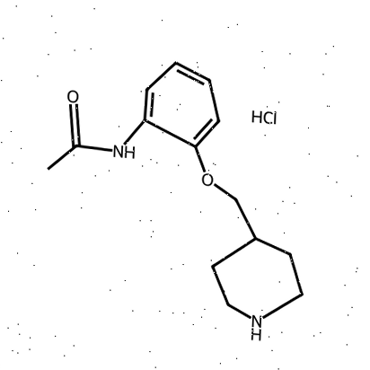 CC(=O)Nc1ccccc1OCC1CCNCC1.Cl